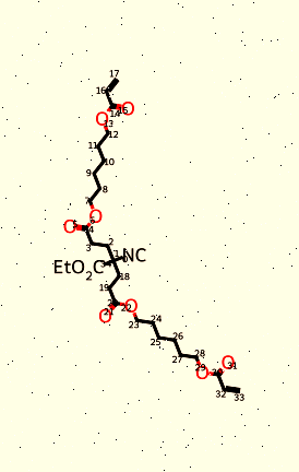 [C-]#[N+]C(CCC(=O)OCCCCCCOC(=O)C=C)(CCC(=O)OCCCCCCOC(=O)C=C)C(=O)OCC